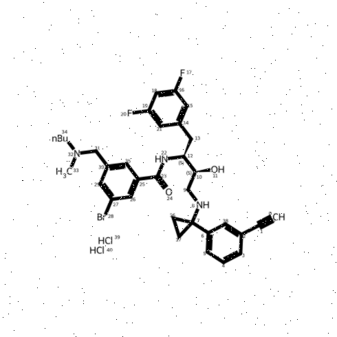 C#Cc1cccc(C2(NC[C@H](O)[C@H](Cc3cc(F)cc(F)c3)NC(=O)c3cc(Br)cc(CN(C)CCCC)c3)CC2)c1.Cl.Cl